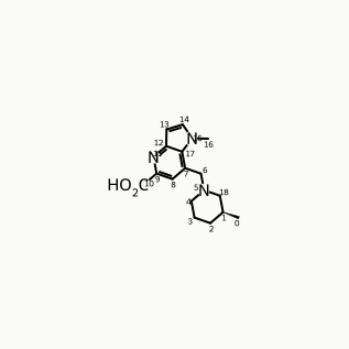 C[C@H]1CCCN(Cc2cc(C(=O)O)nc3ccn(C)c23)C1